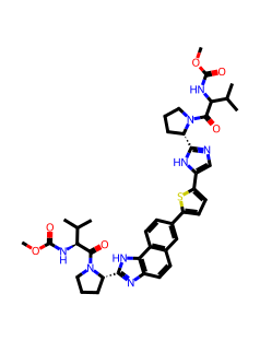 COC(=O)NC(C(=O)N1CCC[C@H]1c1ncc(-c2ccc(-c3ccc4c(ccc5nc([C@@H]6CCCN6C(=O)[C@@H](NC(=O)OC)C(C)C)[nH]c54)c3)s2)[nH]1)C(C)C